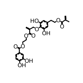 C=C(C)C(=O)OCCc1cc(O)c(OCC(=C)C(=O)OCCOC(=O)c2ccc(O)c(O)c2)c(O)c1